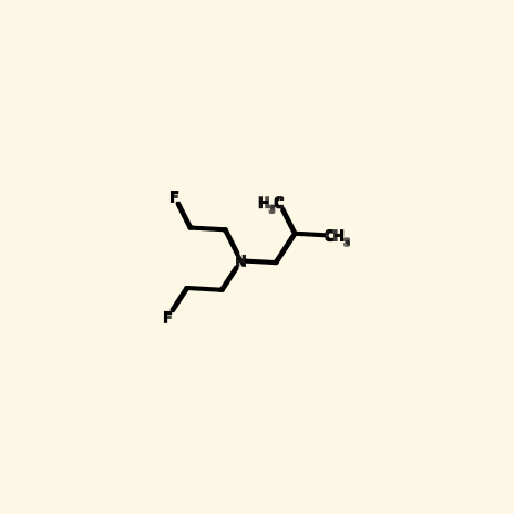 CC(C)CN(CCF)CCF